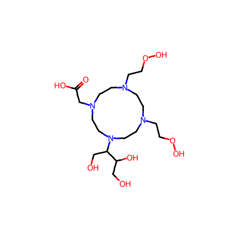 O=C(O)CN1CCN(CCOO)CCN(CCOO)CCN(C(CO)C(O)CO)CC1